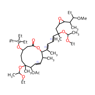 CCOC(C)OC(C)(/C=C/C=C(\C)C1OC(=O)CC(O[Si](CC)(CC)C(C)C)CCC(C)(OC(C)OCC)C(OC(C)=O)/C=C/C1C)CC1OC1C(C)C(CC)OC